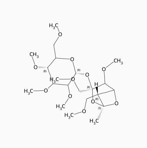 COCC1O[C@H](O[C@]2(COC)O[C@]3(C)OC(C2OC)[C@H]3COC)C(OC)C(OC)[C@@H]1OC